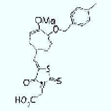 COC1=CCC(/C=C2\SC(=S)N(CC(=O)O)C2=O)=CC=C1OCc1ccc(C)cc1